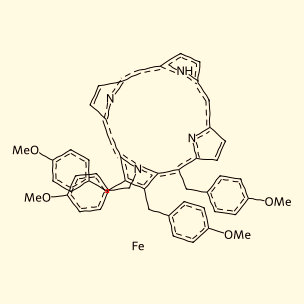 COc1ccc(Cc2c(Cc3ccc(OC)cc3)c3c(Cc4ccc(OC)cc4)c4nc(cc5ccc(cc6nc(cc2n3Cc2ccc(OC)cc2)C=C6)[nH]5)C=C4)cc1.[Fe]